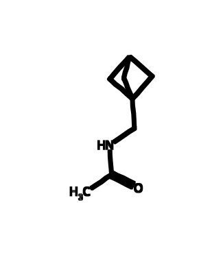 CC(=O)NCC12CC(C1)C2